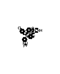 O=C(Nc1cccc(F)c1CC[C@H]1CNCCN1S(=O)(=O)c1ccccc1)[C@H](Cc1ccc(Cl)cc1)Nc1cccc(OC(F)(F)F)c1